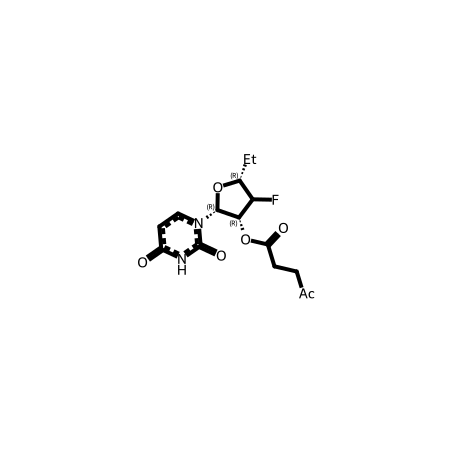 CC[C@H]1O[C@@H](n2ccc(=O)[nH]c2=O)[C@@H](OC(=O)CCC(C)=O)C1F